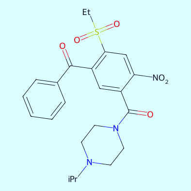 CCS(=O)(=O)c1cc([N+](=O)[O-])c(C(=O)N2CCN(C(C)C)CC2)cc1C(=O)c1ccccc1